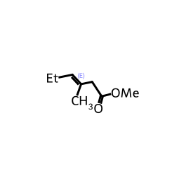 CC/C=C(\C)CC(=O)OC